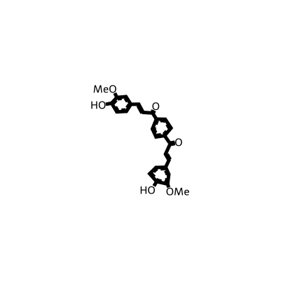 COc1cc(C=CC(=O)c2ccc(C(=O)C=Cc3ccc(O)c(OC)c3)cc2)ccc1O